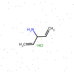 C=CC(N)C=C.Cl